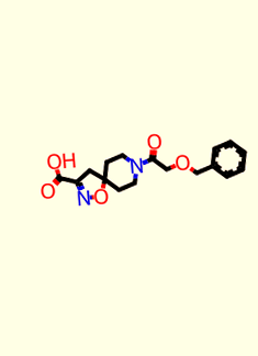 O=C(O)C1=NOC2(CCN(C(=O)COCc3ccccc3)CC2)C1